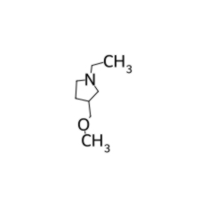 CCN1CCC(COC)C1